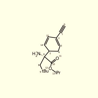 C#CC1=CCC([C@](N)(CC(C)(C)C)C(=O)OC(C)C)C=C1